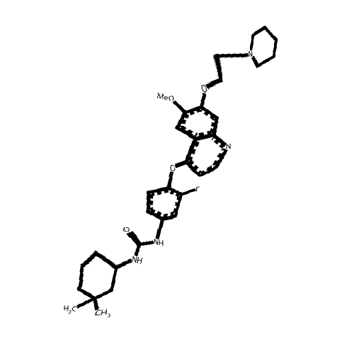 COc1cc2c(Oc3ccc(NC(=O)NC4CCCC(C)(C)C4)cc3F)ccnc2cc1OCCN1CCCCC1